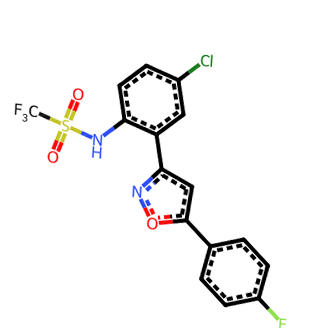 O=S(=O)(Nc1ccc(Cl)cc1-c1cc(-c2ccc(F)cc2)on1)C(F)(F)F